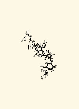 COc1nc(NCCCN(C)C)nc(OC)c1NC(=O)c1ccc(Oc2cc3c(cc2C)[Si](C)(C)CC3)o1